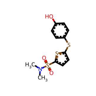 CN(C)S(=O)(=O)c1ccc(Sc2ccc(O)cc2)s1